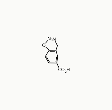 O=C(O)c1ccc2c(c1)CN=NO2